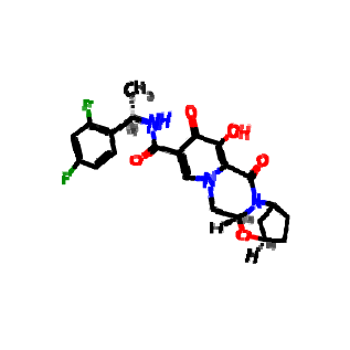 C[C@H](NC(=O)c1cn2c(c(O)c1=O)C(=O)N1C3CC[C@H](C3)O[C@@H]1C2)c1ccc(F)cc1F